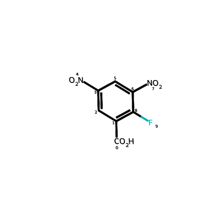 O=C(O)c1cc([N+](=O)[O-])cc([N+](=O)[O-])c1F